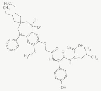 CCCCC1(CCCC)CN(c2ccccc2)c2cc(SC)c(OCC(=O)N[C@@H](C(=O)N[C@@H](CC(C)C)C(=O)O)c3ccc(O)cc3)cc2[N+]([O-])([O-])C1